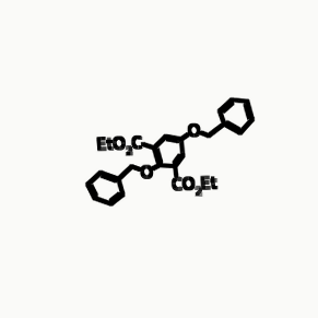 CCOC(=O)c1cc(OCc2ccccc2)cc(C(=O)OCC)c1OCc1ccccc1